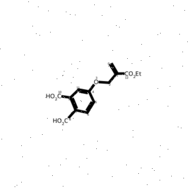 C=C(COc1ccc(C(=O)O)c(C(=O)O)c1)C(=O)OCC